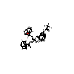 CC(F)(F)C(=O)OC12CC3CC(C1)C1(COC(COC(=O)C45CC6CC(CC(C6)C4)C5)(COC(=O)C45CC6CC(CC(C6)C4)C5)CO1)C(C3)C2